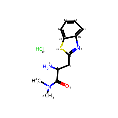 CN(C)C(=O)C(N)Cc1nc2ccccc2s1.Cl